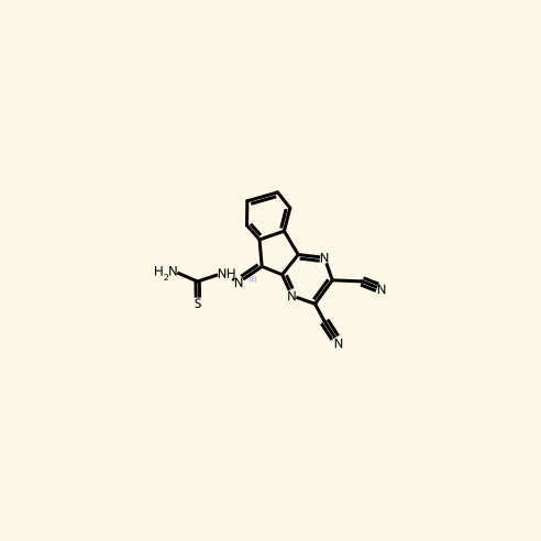 N#Cc1nc2c(nc1C#N)-c1ccccc1/C2=N\NC(N)=S